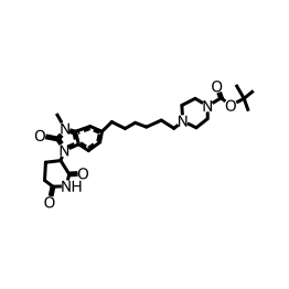 Cn1c(=O)n(C2CCC(=O)NC2=O)c2ccc(CCCCCCN3CCN(C(=O)OC(C)(C)C)CC3)cc21